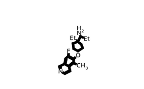 CCC(N)[C@]1(CC)CC[C@H](Oc2c(F)cc3cnccc3c2C)CC1